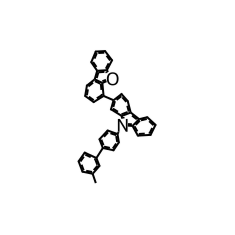 Cc1cccc(-c2ccc(-n3c4ccccc4c4ccc(-c5cccc6c5oc5ccccc56)cc43)cc2)c1